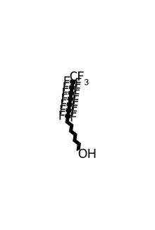 OCCCCCCCC(F)(F)C(F)(F)C(F)(F)C(F)(F)C(F)(F)C(F)(F)C(F)(F)C(F)(F)F